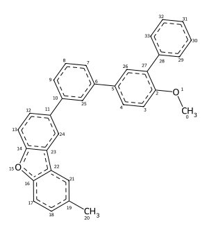 COc1ccc(-c2cccc(-c3ccc4oc5ccc(C)cc5c4c3)c2)cc1-c1ccccc1